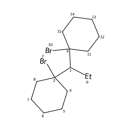 [CH2]CC(C1(Br)CCCCC1)C1(Br)CCCCC1